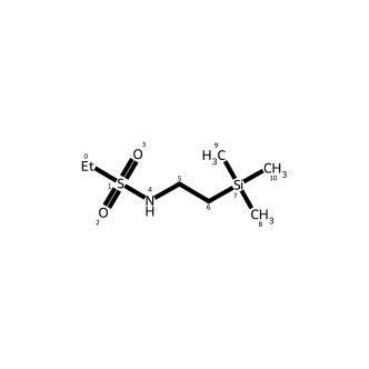 CCS(=O)(=O)NCC[Si](C)(C)C